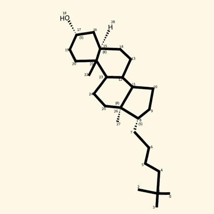 CC(C)(C)CCCC[C@H]1CCC2C3CC[C@@H]4C[C@@H](O)CCC4(C)C3CC[C@@]21C